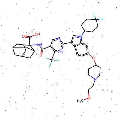 COCCN1CCC(Oc2ccc3c(-c4ncc(C(=O)NC5(C(=O)O)C6CC7CC(C6)CC5C7)c(C(F)(F)F)n4)cn(C4CCC(F)(F)CC4)c3c2)CC1